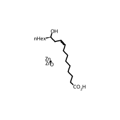 CCCCCC[C@@H](O)C/C=C\CCCCCCCC(=O)O.[O]=[Zn].[Zn]